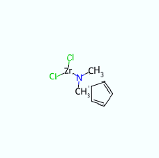 C[N](C)[Zr]([Cl])[Cl].[CH]1C=CC=C1